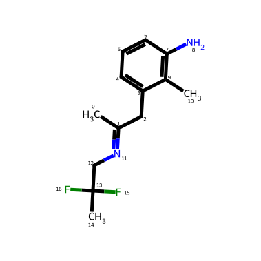 C/C(Cc1cccc(N)c1C)=N\CC(C)(F)F